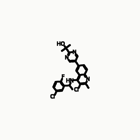 Cc1nc2ccc(-c3cnc(C(C)(C)O)nc3)cc2c(NC(C)c2cc(Cl)ccc2F)c1Cl